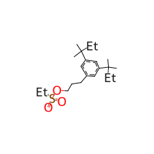 CCC(C)(C)c1cc(CCCOS(=O)(=O)CC)cc(C(C)(C)CC)c1